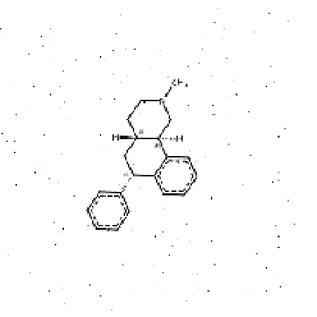 CN1CC[C@H]2C[C@@H](c3ccccc3)c3ccccc3[C@@H]2C1